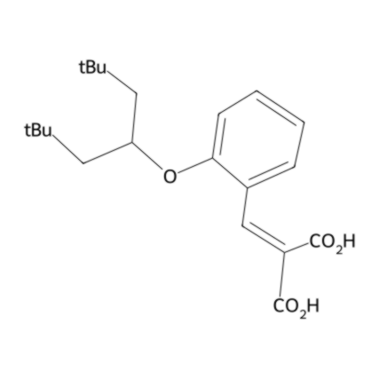 CC(C)(C)CC(CC(C)(C)C)Oc1ccccc1C=C(C(=O)O)C(=O)O